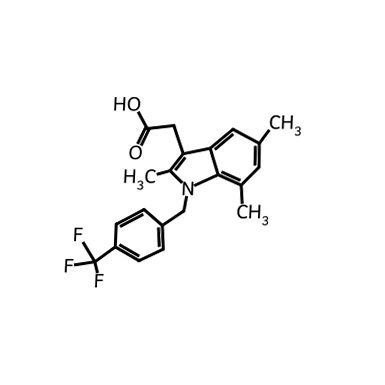 Cc1cc(C)c2c(c1)c(CC(=O)O)c(C)n2Cc1ccc(C(F)(F)F)cc1